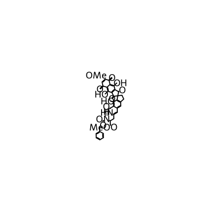 COC(=O)C(Cc1cc2cc3c(c(O)c2c(=O)[nH]1)C1(CC3)C(=O)c2c(O)c3c(c(O)c2C1=O)C(=O)C(OC)=CC3=O)NC(=O)OCc1ccccc1